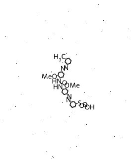 COc1cc(/N=N/c2cccc(C)c2)ccc1NC(=O)Nc1ccc(/N=N/c2cccc(SOOO)c2)cc1OC